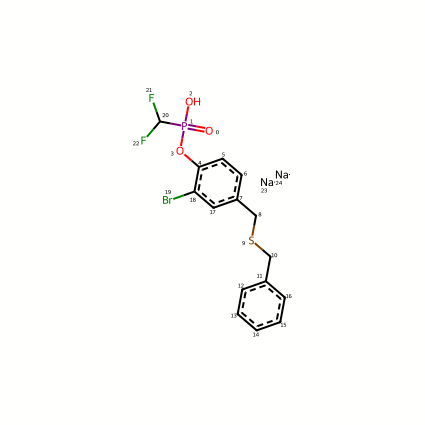 O=P(O)(Oc1ccc(CSCc2ccccc2)cc1Br)C(F)F.[Na].[Na]